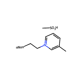 CCCCCCCCCCC[n+]1cccc(C)c1.CS(=O)(=O)O